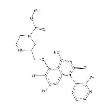 CC(C)c1ncccc1-n1c(=O)nc(O)c2c(OCC3CN(C(=O)OC(C)(C)C)CCN3)c(Cl)c(Br)cc21